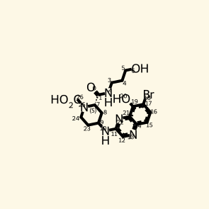 O=C(NCCCO)[C@@H]1CC(Nc2cnc3ccc(Br)c(O)c3n2)CCN1C(=O)O